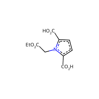 CCOC(=O)Cn1c(C(=O)O)ccc1C(=O)O